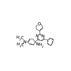 CN(C)C1=CCC(N)(c2cc(-c3ccccc3)nc(C3=CCOCC3)n2)C=C1